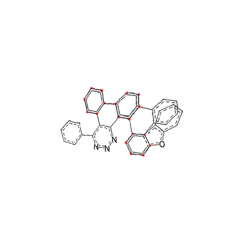 c1ccc(-c2ccccc2-c2ccc(-c3ccccc3)c(-c3nnnc(-c4ccccc4)c3-c3ccccc3-c3ccccc3)c2-c2cccc3oc4ccccc4c23)cc1